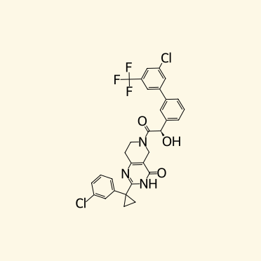 O=C([C@H](O)c1cccc(-c2cc(Cl)cc(C(F)(F)F)c2)c1)N1CCc2nc(C3(c4cccc(Cl)c4)CC3)[nH]c(=O)c2C1